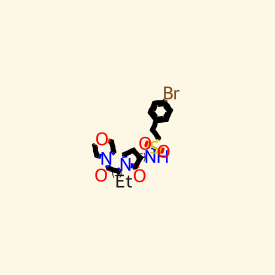 CC[C@@H](C(=O)N1CCOCC1)N1CC[C@H](NS(=O)(=O)CCc2ccc(Br)cc2)C1=O